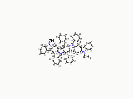 Cn1c2ccccc2c2c3c4ccccc4n4c5c(-c6ccccc6)c6c7cc8c(c9ccccc9n8C)c8c9ccccc9n(c6c(-c6ccccc6)c5c(cc21)c34)c78